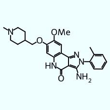 COc1cc2c(cc1OCC1CCN(C)CC1)[nH]c(=O)c1c(N)n(-c3ccccc3C)nc12